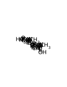 CN1CCN(C)C1=NP(=O)(OCCCO)OCCCOP(=O)(N=C1N(C)CCN1C)OCCCOP(=O)(N=C1N(C)CCN1C)OCCCOP(=O)(O)O